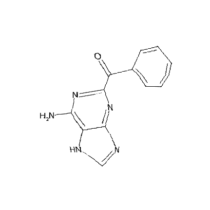 Nc1nc(C(=O)c2ccccc2)nc2nc[nH]c12